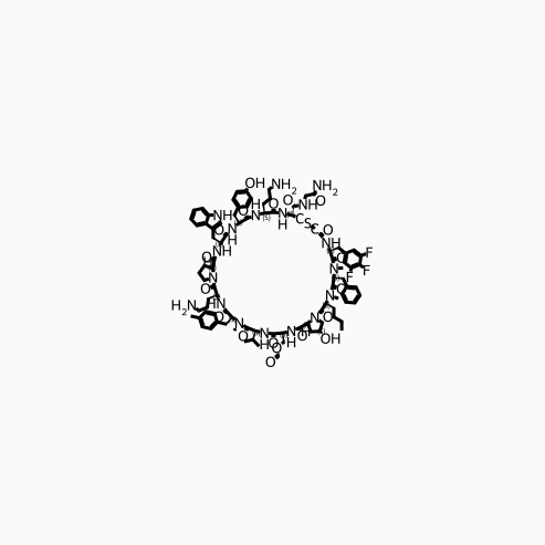 CCCC[C@H]1C(=O)N2C[C@@H](O)C[C@@H]2C(=O)N[C@@H](COC=O)C(=O)N[C@@H](C(C)C)C(=O)N(C)[C@@H](Cc2ccc(C)cc2)C(=O)N[C@@H](CCCN)C(=O)N2CCC[C@@H]2C(=O)N[C@@H](Cc2c[nH]c3ccccc23)C(=O)N[C@@H](Cc2ccc(O)cc2)C(=O)N[C@@H](CCCN)C(=O)N[C@H](C(=O)NCC(N)=O)CSCC(=O)N[C@@H](Cc2cc(F)c(F)c(F)c2)C(=O)N(C)[C@@H](Cc2ccccc2)C(=O)N1C